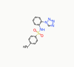 CCCc1ccc(S(=O)(=O)Nc2ccccc2-n2cnnn2)cc1